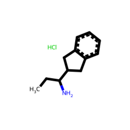 CCC(N)C1Cc2ccccc2C1.Cl